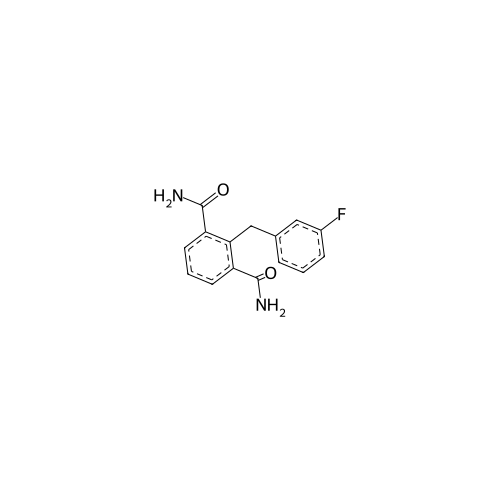 NC(=O)c1cccc(C(N)=O)c1Cc1cccc(F)c1